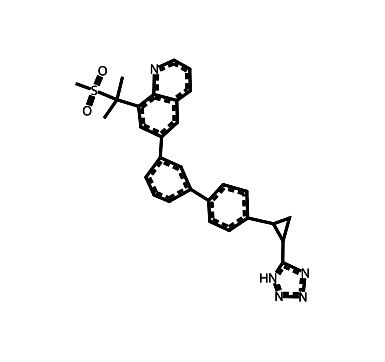 CC(C)(c1cc(-c2cccc(-c3ccc(C4CC4c4nnn[nH]4)cc3)c2)cc2cccnc12)S(C)(=O)=O